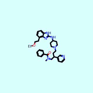 CCOCCc1cccc2[nH]c(NC3CCN(CCC(CN(C)C(=O)c4ccccc4)c4cccnc4)CC3)nc12